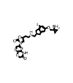 NC1(COc2cc(F)c3c(c2)CC(CNCCC2CN(c4cnc5c(n4)NC(=O)CO5)C(=O)O2)C3)CC1